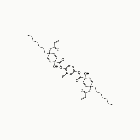 C=CC(=O)OC1(CCCCCCC)C=CC(O)(C(=O)Oc2ccc(OC(=O)C3(O)C=CC(CCCCCCC)(OC(=O)C=C)C=C3)c(F)c2)C=C1